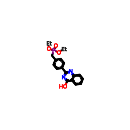 CCOP(=O)(Cc1ccc(-c2nc(O)c3ccccc3n2)cc1)OCC